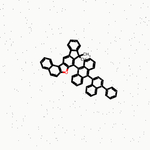 CC1(C)c2ccccc2-c2cc3c(oc4ccc5ccccc5c43)c(-c3c4ccccc4c(-c4ccc(-c5ccccc5)c5ccccc45)c4ccccc34)c21